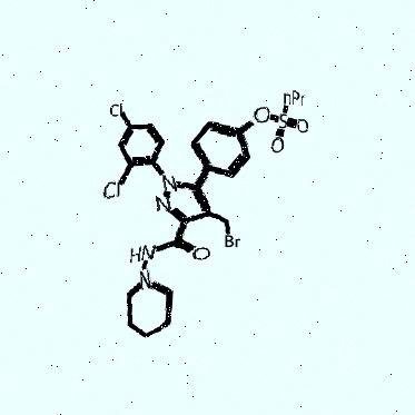 CCCS(=O)(=O)Oc1ccc(-c2c(CBr)c(C(=O)NN3CCCCC3)nn2-c2ccc(Cl)cc2Cl)cc1